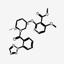 COC(=O)c1c(OC)ccnc1O[C@@H]1CC[C@@H](C)N(C(=O)c2ccccc2-n2ncnn2)C1